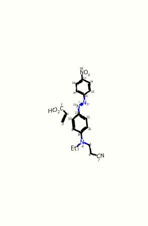 C=CC(=O)O.CCN(CCC#N)c1ccc(/N=N/c2ccc([N+](=O)[O-])cc2)cc1